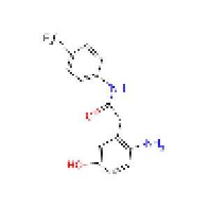 Nc1ccc(O)cc1CC(=O)Nc1ccc(C(F)(F)F)cc1